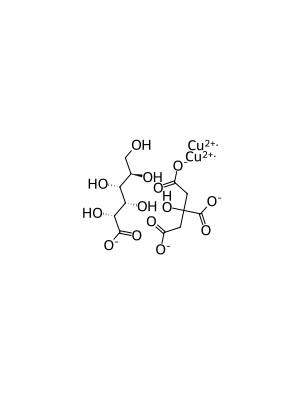 O=C([O-])CC(O)(CC(=O)[O-])C(=O)[O-].O=C([O-])[C@H](O)[C@@H](O)[C@H](O)[C@H](O)CO.[Cu+2].[Cu+2]